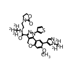 [2H]C([2H])([2H])N(CCN1CCOC1=O)C(=O)c1nn(-c2ccsc2)c2c1COc1cc(OC)c(-c3cnn(C([2H])([2H])[2H])c3)cc1-2